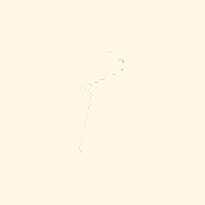 CCCCC/C=C\C/C=C\CCCCCCCCOC(COCCCCCCCCCCCCCCCCCC)CN(C)C